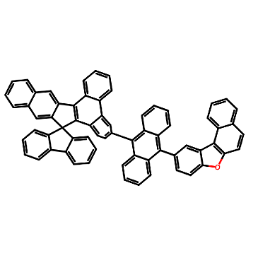 c1ccc2c(c1)-c1ccccc1C21c2cc3ccccc3cc2-c2c1c1ccc(-c3c4ccccc4c(-c4ccc5oc6ccc7ccccc7c6c5c4)c4ccccc34)cc1c1ccccc21